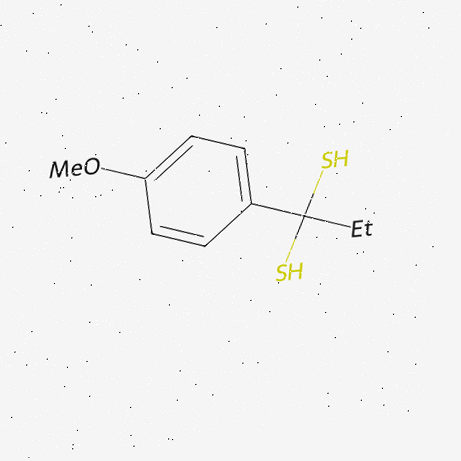 CCC(S)(S)c1ccc(OC)cc1